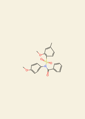 COc1ccc(N(C(=O)c2ccccc2)S(=O)(=O)c2ccc(C)cc2OC)cc1